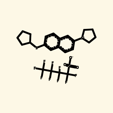 O=S(=O)([O-])C(F)(F)C(F)(F)C(F)(F)C(F)(F)F.c1cc2cc([S+]3CCCC3)ccc2cc1SC1CCCC1